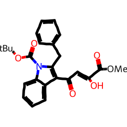 COC(=O)C(O)=CC(=O)c1c(Cc2ccccc2)n(C(=O)OC(C)(C)C)c2ccccc12